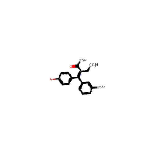 COC(=O)/C(CC(=O)O)=C(\c1ccc(Br)cc1)c1cccc(OC)c1